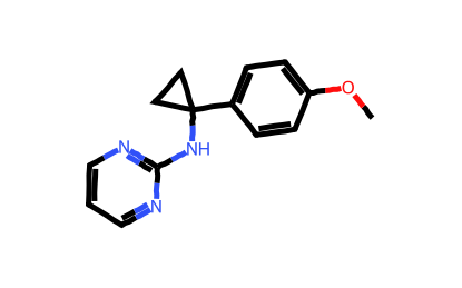 COc1ccc(C2(Nc3ncccn3)CC2)cc1